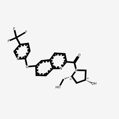 O=C(c1ccc2cc(Oc3ccc(C(F)(F)F)cn3)ccc2n1)N1C[C@H](O)C[C@@H]1CO